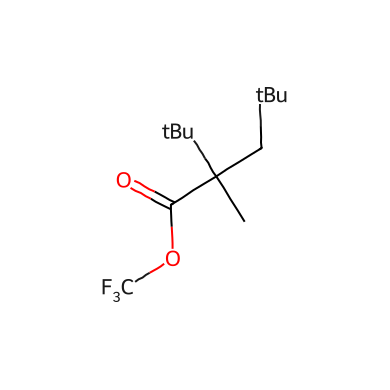 CC(C)(C)CC(C)(C(=O)OC(F)(F)F)C(C)(C)C